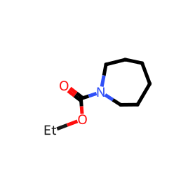 CCOC(=O)N1CCCCCC1